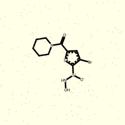 O=C(c1cc(Br)c([S+]([O-])NO)s1)N1CCCCC1